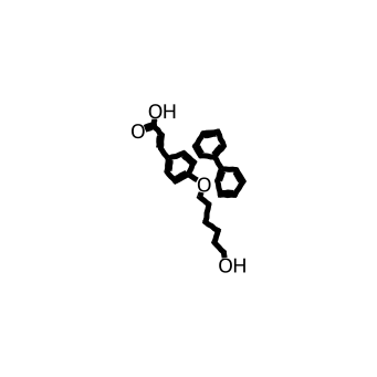 O=C(O)C=Cc1ccc(OCCCCCCO)cc1.c1ccc(-c2ccccc2)cc1